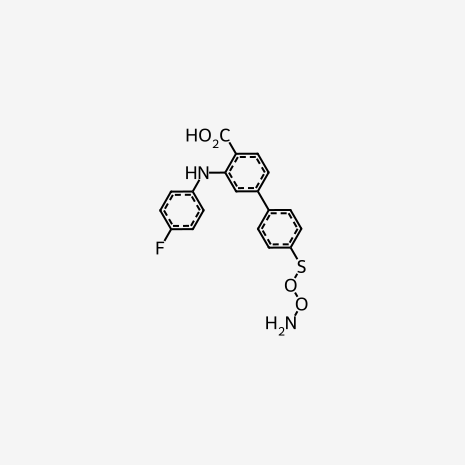 NOOSc1ccc(-c2ccc(C(=O)O)c(Nc3ccc(F)cc3)c2)cc1